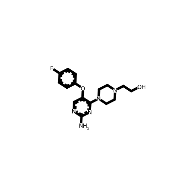 Nc1ncc(Oc2ccc(F)cc2)c(N2CCN(CCO)CC2)n1